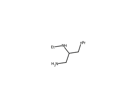 CCCCC(CN)NCC